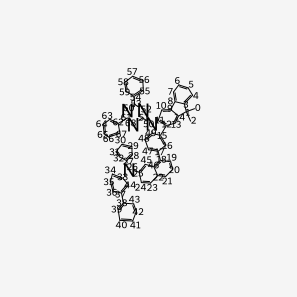 CC1(C)c2ccccc2-c2cc3c(cc21)c1cc(-c2cccc4ccc(N(c5ccccc5)c5cccc(-c6ccccc6)c5)cc24)ccc1n3-c1nc(-c2ccccc2)nc(-c2ccccc2)n1